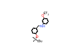 CC(C)(C)[Si](C)(C)Oc1cccc(CNc2cccc(OC(F)(F)F)c2)c1